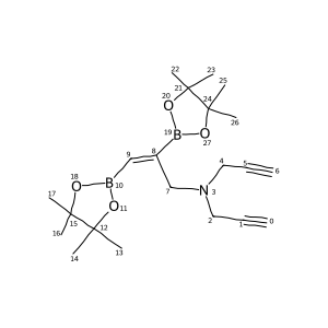 C#CCN(CC#C)CC(=CB1OC(C)(C)C(C)(C)O1)B1OC(C)(C)C(C)(C)O1